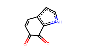 O=C1C=Cc2cc[nH]c2C1=O